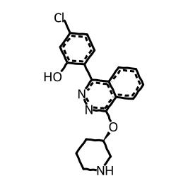 Oc1cc(Cl)ccc1-c1nnc(O[C@@H]2CCCNC2)c2ccccc12